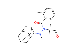 Cc1ccccc1C(=O)N(N(C)C1C2CC3CC(C2)CC1C3)C(C)(C)C=O